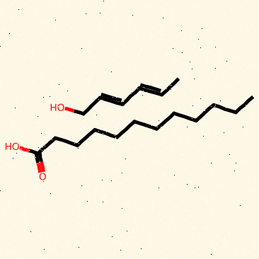 C/C=C/C=C/CO.CCCCCCCCCCCC(=O)O